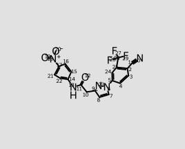 N#Cc1ccc(-n2ccc(CC(=O)Nc3ccc([N+](=O)[O-])cc3)n2)cc1C(F)(F)F